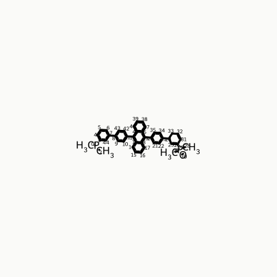 CP(C)c1cccc(-c2ccc(-c3c4ccccc4c(-c4ccc(C5C=C(P(C)(C)=O)C=CC5)cc4)c4ccccc34)cc2)c1